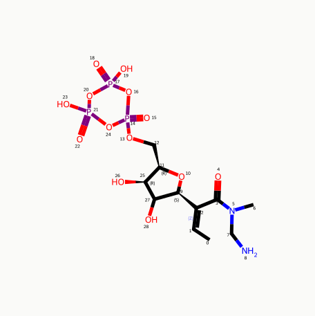 C/C=C(\C(=O)N(C)CN)[C@@H]1O[C@H](COP2(=O)OP(=O)(O)OP(=O)(O)O2)[C@H](O)C1O